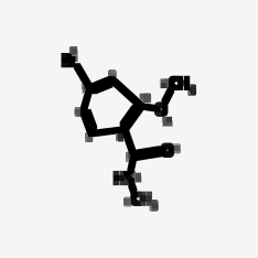 CNC(=O)c1ccc(Br)cc1OC